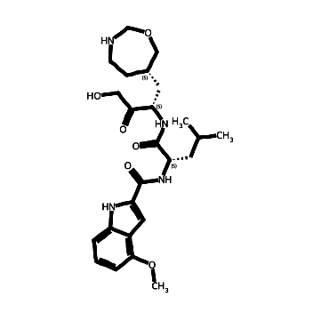 COc1cccc2[nH]c(C(=O)N[C@@H](CC(C)C)C(=O)N[C@@H](C[C@@H]3CCNCOC3)C(=O)CO)cc12